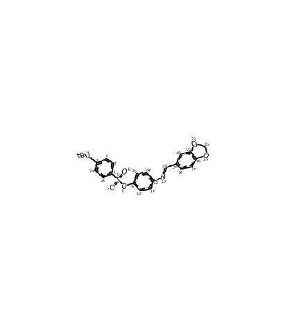 CC(C)(C)c1ccc(S(=O)(=O)Oc2ccc(/N=C/c3ccc4c(c3)OCO4)cc2)cc1